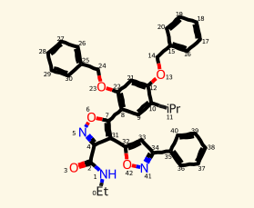 CCNC(=O)c1noc(-c2cc(C(C)C)c(OCc3ccccc3)cc2OCc2ccccc2)c1-c1cc(-c2ccccc2)no1